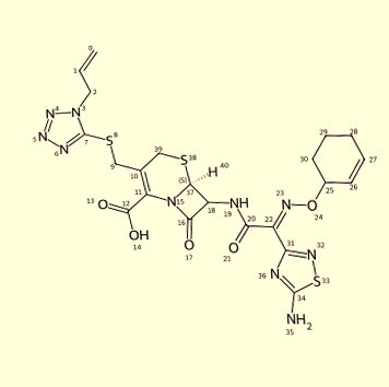 C=CCn1nnnc1SCC1=C(C(=O)O)N2C(=O)C(NC(=O)C(=NOC3C=CCCC3)c3nsc(N)n3)[C@@H]2SC1